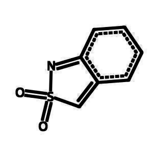 O=S1(=O)C=c2ccccc2=N1